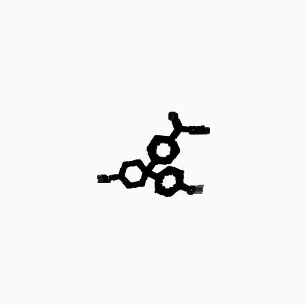 COC(=O)c1ccc(C2(c3ccc(O)cc3)CCC(C(C)(C)C)CC2)cc1